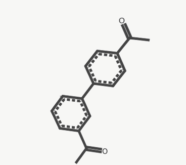 CC(=O)c1ccc(-c2[c]ccc(C(C)=O)c2)cc1